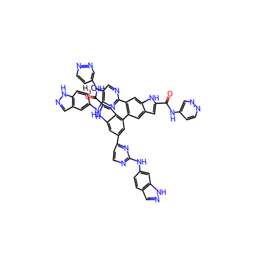 Cc1cnc(-c2cc3[nH]c(C(=O)Nc4ccnnc4)cc3cc2-c2cc(-c3ccnc(Nc4ccc5cn[nH]c5c4)n3)cc3[nH]c(C(=O)Nc4ccnnc4)cc23)nc1Nc1ccc2[nH]ncc2c1